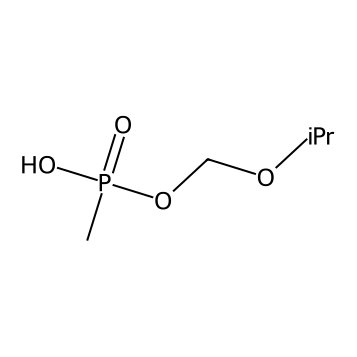 CC(C)OCOP(C)(=O)O